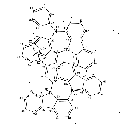 C(=C\n1c2ccccc2c2cccc(-n3c4ccccc4c4ccccc43)c21)/C(=C\Cn1c2ccccc2c2cccc(-n3c4ccccc4c4ccccc43)c21)c1ccccc1